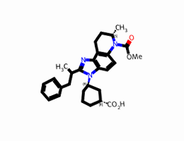 COC(=O)N1c2ccc3c(nc(C(C)Cc4ccccc4)n3[C@@H]3CCC[C@@H](C(=O)O)C3)c2CC[C@@H]1C